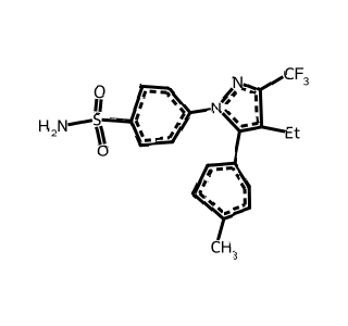 CCc1c(C(F)(F)F)nn(-c2ccc(S(N)(=O)=O)cc2)c1-c1ccc(C)cc1